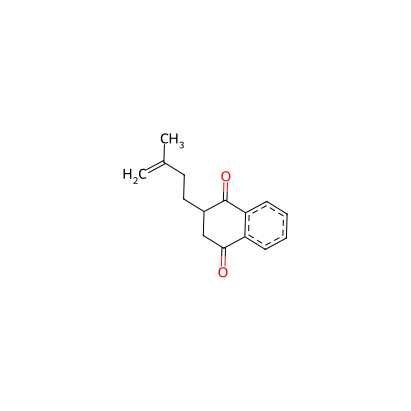 C=C(C)CCC1CC(=O)c2ccccc2C1=O